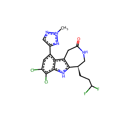 Cn1ncc(-c2cc(Cl)c(Cl)c3[nH]c4c(c23)CC(=O)NC[C@H]4CCC(F)F)n1